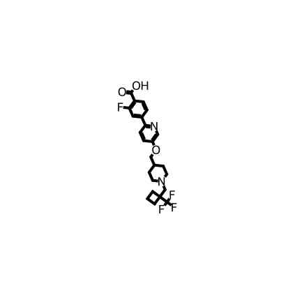 O=C(O)c1ccc(-c2ccc(OCC3CCN(CC4(C(F)(F)F)CCC4)CC3)cn2)cc1F